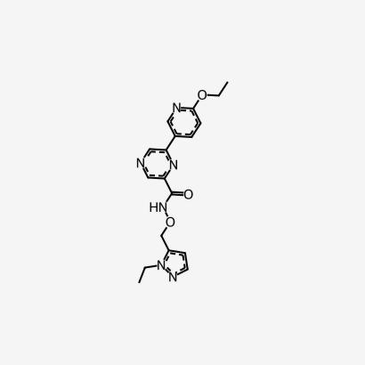 CCOc1ccc(-c2cncc(C(=O)NOCc3ccnn3CC)n2)cn1